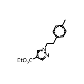 CCOC(=O)c1cnn(CCc2ccc(C)cc2)c1